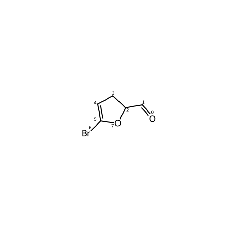 O=CC1CC=C(Br)O1